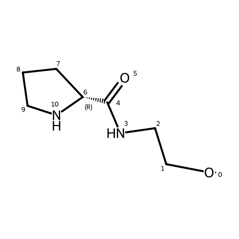 [O]CCNC(=O)[C@H]1CCCN1